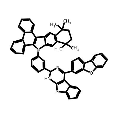 CC1(C)CCC(C)(C)c2cc3c(cc21)c1c2ccccc2c2ccccc2c1n3-c1cccc(C2N=C(c3ccc4c(c3)oc3ccccc34)c3c(sc4ccccc34)N2)c1